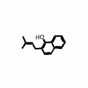 CC(C)=CCc1ccc2ccccc2c1O